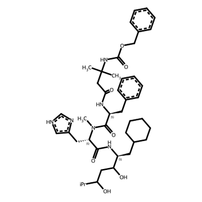 CC(C)C(O)CC(O)[C@H](CC1CCCCC1)NC(=O)[C@H](Cc1c[nH]cn1)N(C)C(=O)[C@H](Cc1ccccc1)NC(=O)CC(C)(C)NC(=O)OCc1ccccc1